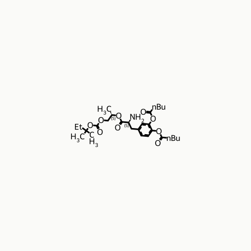 CCCCC(=O)Oc1ccc(C[C@H](N)C(=O)O[C@@H](C)COC(=O)OC(C)(C)CC)cc1OC(=O)CCCC